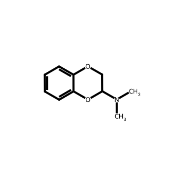 CN(C)C1COc2ccccc2O1